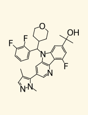 Cc1cnn(C)c1-c1cnc2c3c(F)cc(C(C)(C)O)cc3n(C(c3cccc(F)c3F)C3CCOCC3)c2c1